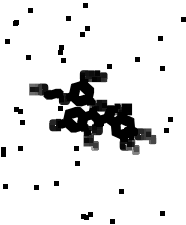 COc1cc(NC(C(=O)c2c[nH]c3cc(C)c(C(F)(F)F)cc23)c2ccc(Cl)cc2C)cc(OCCO)c1